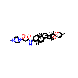 C[C@H]1CC[C@@]2(OC1)O[C@H]1C[C@H]3[C@@H]4CC[C@@H]5C[C@@H](NC(=O)CC(=O)N6CCN(C)CC6)CC[C@]5(C)[C@H]4CC[C@]3(C)[C@H]1[C@@H]2C